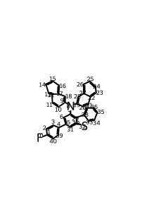 Fc1ccc(-c2cc(N(c3ccc4ccccc4c3)c3ccc4ccccc4c3)c3c(c2)sc2ccccc23)cc1